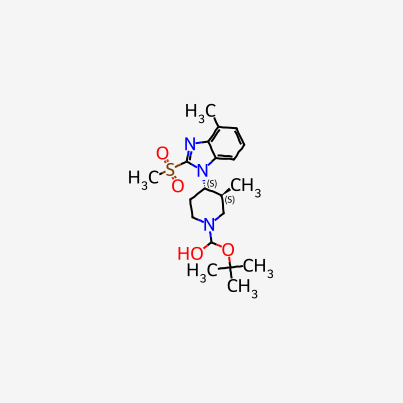 Cc1cccc2c1nc(S(C)(=O)=O)n2[C@H]1CCN(C(O)OC(C)(C)C)C[C@@H]1C